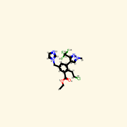 CCOC(=O)c1cc(Cn2ccnc2)cc(-c2cn(C)nc2C(F)(F)F)c1CCCl